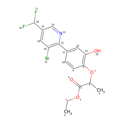 CCOC(=O)C(C)Oc1ccc(-c2ncc(C(F)F)cc2Br)cc1O